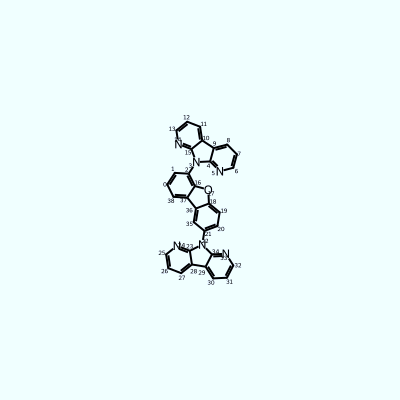 c1cc(-n2c3ncccc3c3cccnc32)c2oc3ccc(-n4c5ncccc5c5cccnc54)cc3c2c1